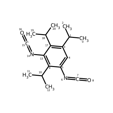 CC(C)c1cc(N=C=O)c(C(C)C)c(N=C=O)c1C(C)C